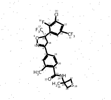 Cc1cc(C2=NO[C@](c3cc(C(F)(F)F)cc(Cl)c3F)(C(F)(F)F)C2)ccc1C(=O)NC1(C)CSC1